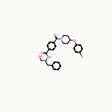 O=C(N[C@H](CO)Cc1ccccc1)c1ccc(C(=O)N2CCC(Oc3ccc(Cl)cc3)CC2)cc1